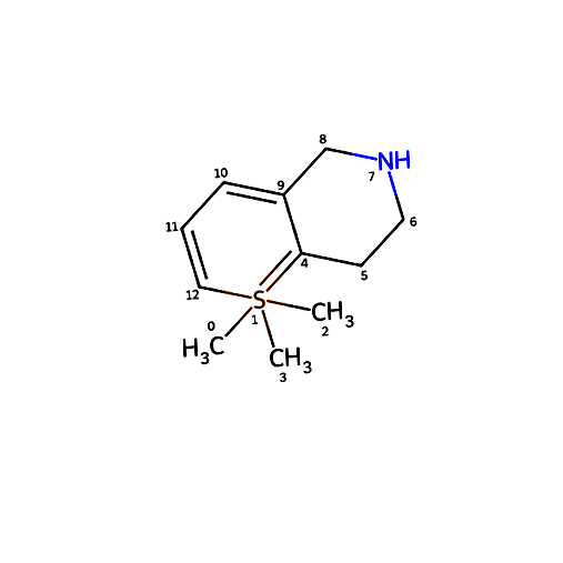 CS1(C)(C)=C2CCNCC2=CC=C1